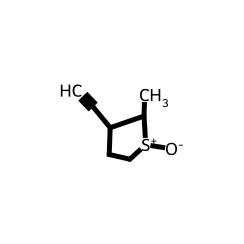 C#CC1CC[S+]([O-])C1C